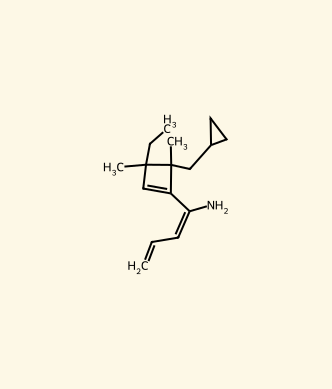 C=C/C=C(/N)C1=CC(C)(CC)C1(C)CC1CC1